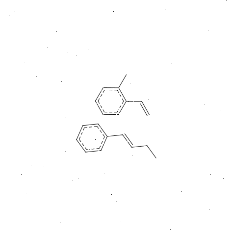 C=Cc1ccccc1C.CCC=Cc1ccccc1